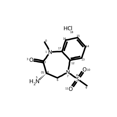 CN1C(=O)[C@@H](N)CN(S(C)(=O)=O)c2ccccc21.Cl